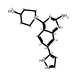 Nc1nc(N2CCC(O)CC2)c2ccc(-c3ccn[nH]3)cc2n1